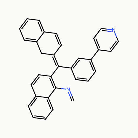 C=Nc1c(/C(=C2/C=Cc3ccccc3C2)c2cccc(-c3ccncc3)c2)ccc2ccccc12